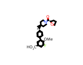 COc1c(F)cc(C(=O)O)cc1-c1ccc([C@@H]2CC23CCN(C(=O)[C@H]2CCCO2)CC3)cc1